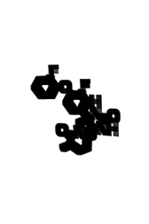 Cc1cccn(CC2(c3ccc(Oc4ccccc4F)c(F)c3)NC(=O)NC2=O)c1=O